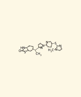 CC(c1ccc2[nH]c(=O)sc2c1)c1ccn(-c2ccc(Sc3nccn3C)cn2)n1